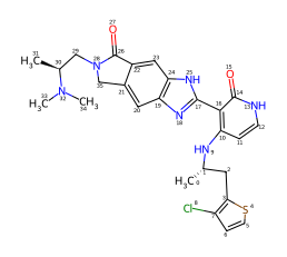 C[C@@H](Cc1sccc1Cl)Nc1cc[nH]c(=O)c1-c1nc2cc3c(cc2[nH]1)C(=O)N(C[C@H](C)N(C)C)C3